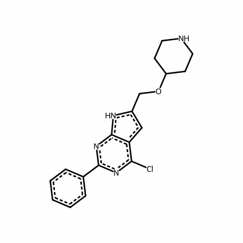 Clc1nc(-c2ccccc2)nc2[nH]c(COC3CCNCC3)cc12